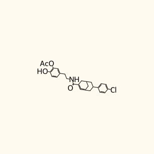 CC(=O)Oc1cc(CCNC(=O)C2=C=C3CC(C2)CC(c2ccc(Cl)cc2)C3)ccc1O